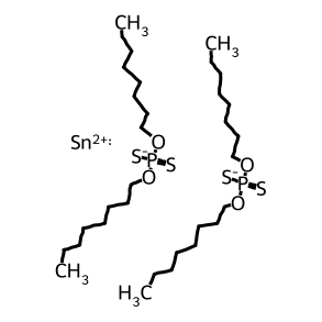 CCCCCCCCOP(=S)([S-])OCCCCCCCC.CCCCCCCCOP(=S)([S-])OCCCCCCCC.[Sn+2]